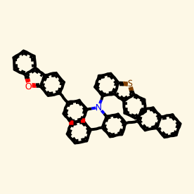 c1ccc(-c2ccc(-c3ccc4ccccc4c3)cc2N(c2cccc(-c3ccc4c(c3)oc3ccccc34)c2)c2cccc3sc4ccccc4c23)cc1